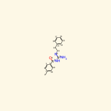 Cc1ccc(C(=O)NC(N)=NCCc2ccccc2)cc1